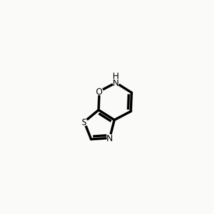 C1=Cc2ncsc2ON1